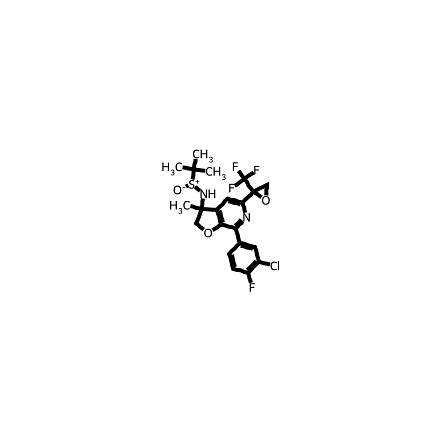 CC1(N[S+]([O-])C(C)(C)C)COc2c1cc(C1(C(F)(F)F)CO1)nc2-c1ccc(F)c(Cl)c1